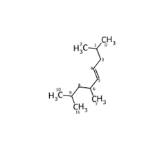 CC(C)CC=CC(C)CC(C)C